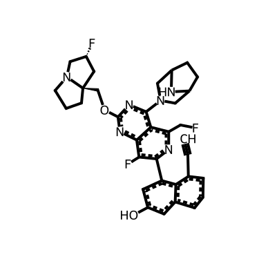 C#Cc1cccc2cc(O)cc(-c3nc(CF)c4c(N5CC6CCC(C5)N6)nc(OC[C@@]56CCCN5C[C@H](F)C6)nc4c3F)c12